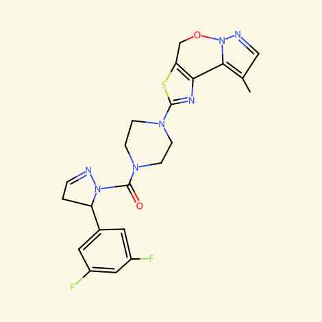 Cc1cnn2c1-c1nc(N3CCN(C(=O)N4N=CCC4c4cc(F)cc(F)c4)CC3)sc1CO2